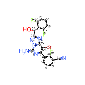 N#Cc1cccc(-c2nc(N)n3nc(C(O)c4c(F)cccc4F)nc3c2Br)c1F